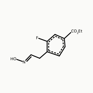 CCOC(=O)c1ccc(CC=NO)c(F)c1